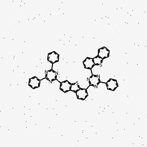 c1ccc(-c2nc(-c3ccccc3)nc(-c3ccc4c(c3)sc3c(-c5nc(-c6ccccc6)nc(-c6cccc7c6sc6ccccc67)n5)cccc34)n2)cc1